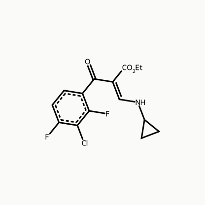 CCOC(=O)C(=CNC1CC1)C(=O)c1ccc(F)c(Cl)c1F